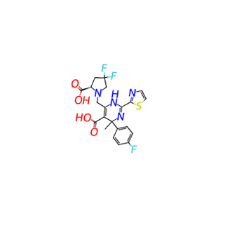 CC1(c2ccc(F)cc2)N=C(c2nccs2)NC(CN2CC(F)(F)C[C@@H]2C(=O)O)=C1C(=O)O